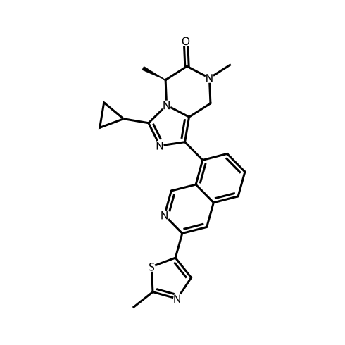 Cc1ncc(-c2cc3cccc(-c4nc(C5CC5)n5c4CN(C)C(=O)[C@@H]5C)c3cn2)s1